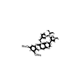 COc1cc(/N=c2\ccc3ncc(-c4cnn(C)c4)nc3n2Cc2ccn(SN(C)C)n2)c(F)c(OC)c1